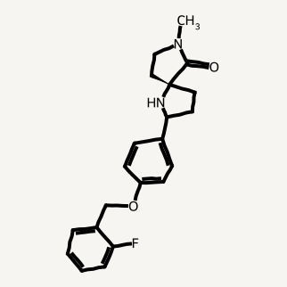 CN1CC[C@]2(CCC(c3ccc(OCc4ccccc4F)cc3)N2)C1=O